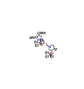 CC[Si](CC)(CC)O[C@@H](CCN1CCC2(CC2)[C@H](O[Si](CC)(CC)CC)C1)CNCC(OC)OC